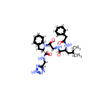 CC(C)CC(NC(=O)Cc1ccccc1)C(=O)NCC(=O)N1c2ccccc2C[C@H]1C(=O)NCc1nn[nH]n1